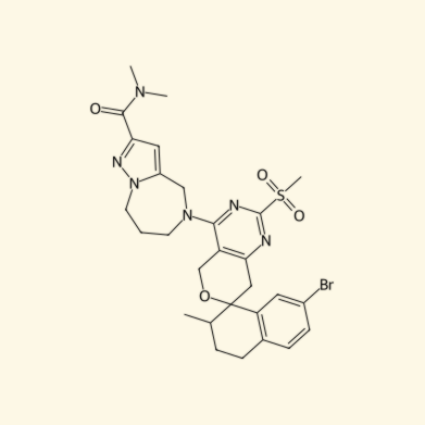 CC1CCc2ccc(Br)cc2C12Cc1nc(S(C)(=O)=O)nc(N3CCCn4nc(C(=O)N(C)C)cc4C3)c1CO2